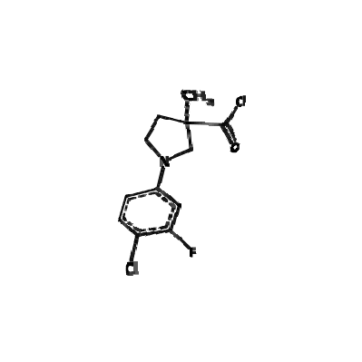 CC1(C(=O)Cl)CCN(c2ccc(Cl)c(F)c2)C1